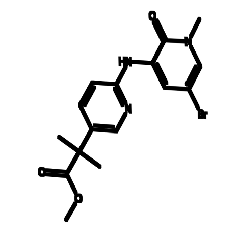 COC(=O)C(C)(C)c1ccc(Nc2cc(Br)cn(C)c2=O)nc1